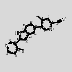 Cc1cc(C#N)ncc1-c1ccc2[nH]c(-c3cnccc3C)cc2c1